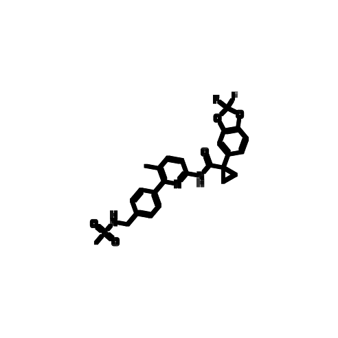 Cc1ccc(NC(=O)C2(c3ccc4c(c3)OC(F)(F)O4)CC2)nc1-c1ccc(CNS(C)(=O)=O)cc1